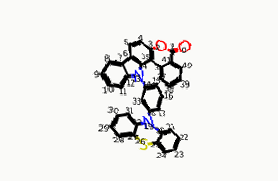 O=c1oc2ccc3c4ccccc4n(-c4cccc(N5c6ccccc6Sc6ccccc65)c4)c3c2c2ccccc12